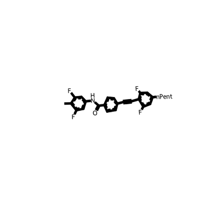 CCCCCc1cc(F)c(C#Cc2ccc(C(=O)Nc3cc(F)c(C)c(F)c3)cc2)c(F)c1